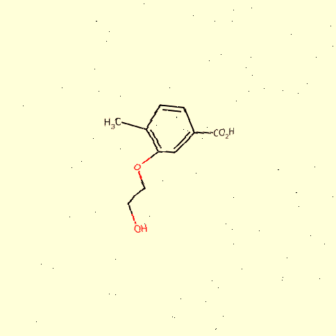 Cc1ccc(C(=O)O)cc1OCCO